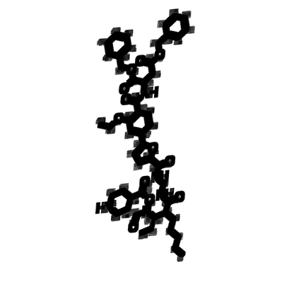 CCCCCC(C(=O)NCNC(=O)c1ccc(-c2ccc(C(=O)NC(CC(=O)OCc3ccccc3)C(=O)OCc3ccccc3)c(OCC)c2)o1)[C@@H](CC)N(C=O)OC(=O)C1CCNCC1